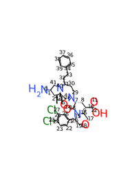 N[C@@H]1C[C@H]2C(=O)N([C@H](CCC(=O)O)C(=O)N3CCOC[C@H]3c3ccc(Cl)c(Cl)c3)CCC(CCc3ccccc3)N2C1